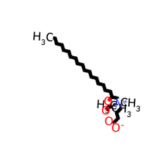 CCCCCCCCCCCCCCCCCCC(C[N+](C)(C)CCCC(=O)[O-])OC(C)=O